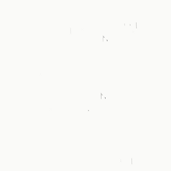 CCOC(=O)N(C)CCN1CCC(C)CC1(c1ccccc1)c1ccccc1